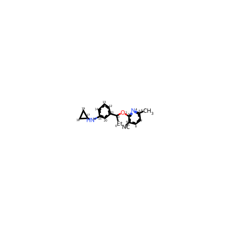 CCC(Oc1nc(C)ccc1C#N)c1cccc(NC2CC2)c1